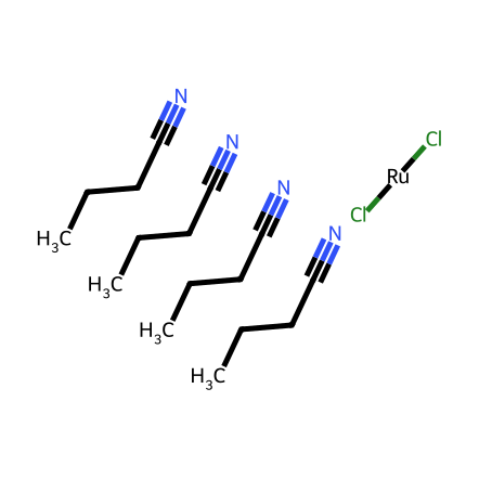 CCCC#N.CCCC#N.CCCC#N.CCCC#N.[Cl][Ru][Cl]